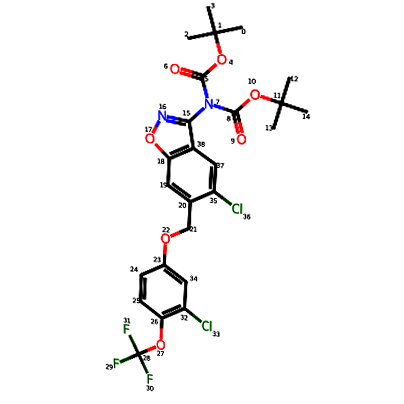 CC(C)(C)OC(=O)N(C(=O)OC(C)(C)C)c1noc2cc(COc3ccc(OC(F)(F)F)c(Cl)c3)c(Cl)cc12